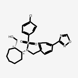 O=S(=O)(c1ccc(Cl)cc1)N(Cc1ccc(-c2ncon2)cc1)[C@@H]1CCCCC[C@@H]1CO